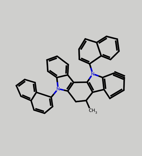 CC1Cc2c(c3ccccc3n2-c2cccc3ccccc23)-c2c1c1ccc#cc1n2-c1cccc2ccccc12